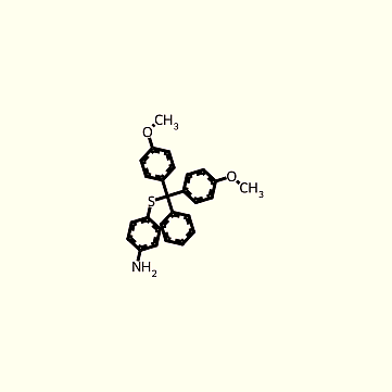 COc1ccc(C(Sc2ccc(N)cc2)(c2ccccc2)c2ccc(OC)cc2)cc1